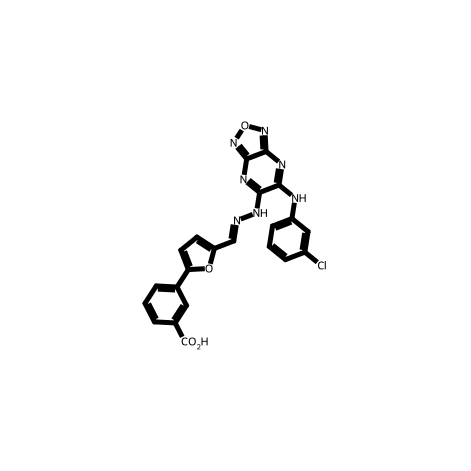 O=C(O)c1cccc(-c2ccc(/C=N/Nc3nc4nonc4nc3Nc3cccc(Cl)c3)o2)c1